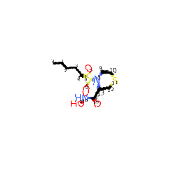 CCCCCS(=O)(=O)N1CCSCC1C(=O)NO